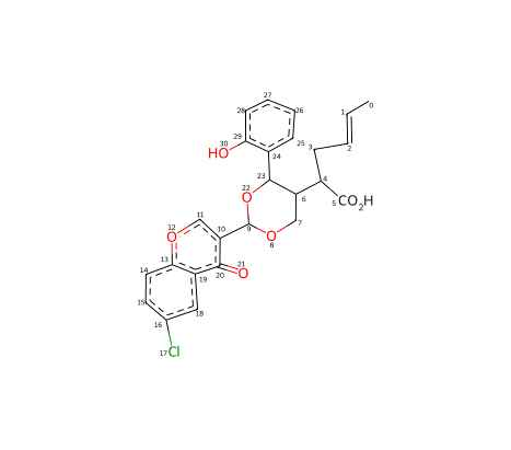 CC=CCC(C(=O)O)C1COC(c2coc3ccc(Cl)cc3c2=O)OC1c1ccccc1O